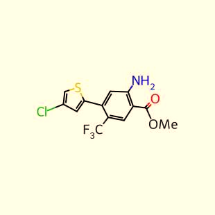 COC(=O)c1cc(C(F)(F)F)c(-c2cc(Cl)cs2)cc1N